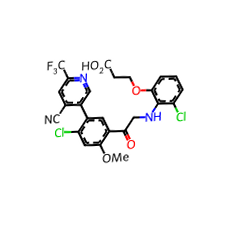 COc1cc(Cl)c(-c2cnc(C(F)(F)F)cc2C#N)cc1C(=O)CNc1c(Cl)cccc1OCCC(=O)O